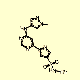 CCCNS(=O)(=O)c1cnn(-c2cc(Nc3cnn(C)c3)ncn2)c1